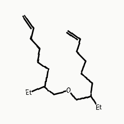 C=CCCCCC(CC)COCC(CC)CCCCC=C